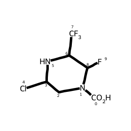 O=C(O)N1CC(Cl)NC(C(F)(F)F)C1F